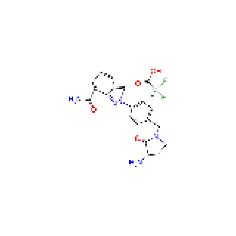 NC(=O)c1cccc2cn(-c3ccc(CN4CCC(N)C4=O)cc3)nc12.O=C(O)C(F)(F)F